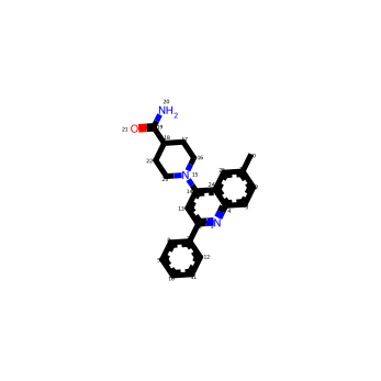 Cc1ccc2nc(-c3ccccc3)cc(N3CCC(C(N)=O)CC3)c2c1